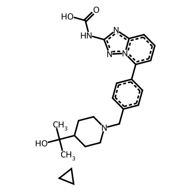 C1CC1.CC(C)(O)C1CCN(Cc2ccc(-c3cccc4nc(NC(=O)O)nn34)cc2)CC1